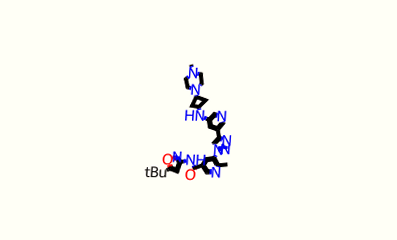 Cc1ncc(C(=O)Nc2cc(C(C)(C)C)on2)cc1-n1cc(-c2cncc(NC3CC(N4CCN(C)CC4)C3)c2)nn1